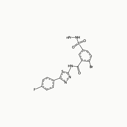 CCCNS(=O)(=O)c1ccc(Br)c(C(=O)Nc2nnc(-c3ccc(F)cc3)s2)c1